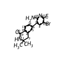 CC1(C)Cc2cc(-c3cc(Br)c(F)nc3N)ccc2C(=O)N1